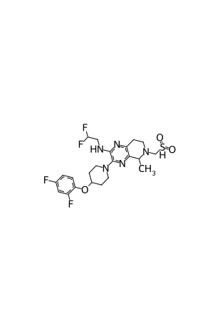 CC1c2nc(N3CCC(Oc4ccc(F)cc4F)CC3)c(NCC(F)F)nc2CCN1C[SH](=O)=O